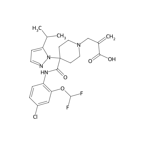 C=C(CN1CCC(C(=O)Nc2ccc(Cl)cc2OC(F)F)(n2nccc2C(C)C)CC1)C(=O)O